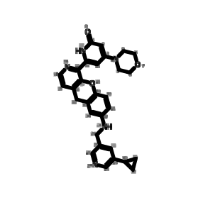 O=c1cc(N2CCOCC2)cc(-c2nccc3c2Oc2ccc(NCc4cncc(C5CC5)c4)cc2C3)[nH]1